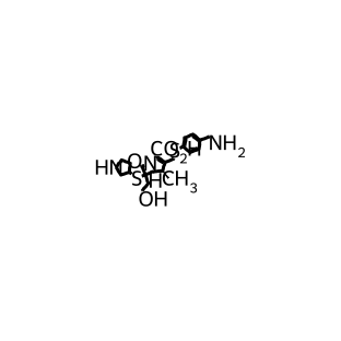 C[C@@H]1C(CSc2ccc(CN)cc2)=C(C(=O)O)N2C(=O)C(CCO)(SC3CCNC3)[C@H]12